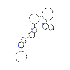 c1ccc2c(C3CCCCCCCCCC(C4CCCCCCC(c5ccc6ccc(-c7ccc8cnc(C9CCCCCCCCCC9)cc8c7)cc6n5)CC4)C3)nccc2c1